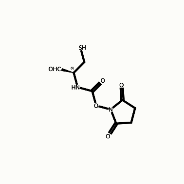 O=C[C@@H](CS)NC(=O)ON1C(=O)CCC1=O